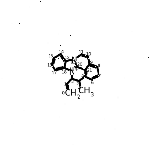 C=CC1C(C)c2cccc3ccn4c5ccccc5[n+]1c4c23